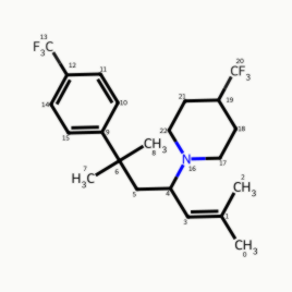 CC(C)=CC(CC(C)(C)c1ccc(C(F)(F)F)cc1)N1CCC(C(F)(F)F)CC1